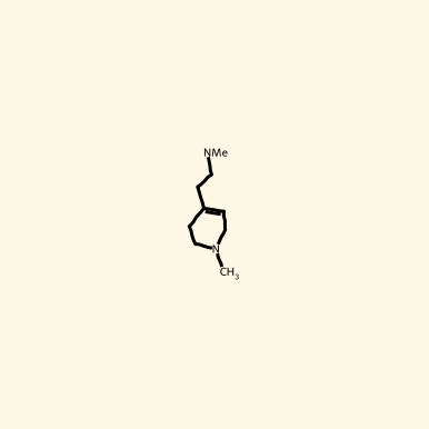 CNCCC1=CCN(C)CC1